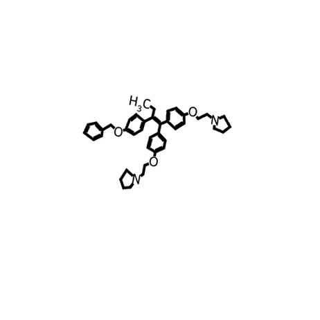 CCC(=C(c1ccc(OCCN2CCCC2)cc1)c1ccc(OCCN2CCCC2)cc1)c1ccc(OCc2ccccc2)cc1